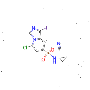 N#CC1(NS(=O)(=O)c2cc(Cl)n3cnc(I)c3c2)CC1